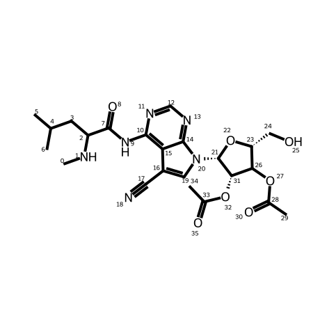 CNC(CC(C)C)C(=O)Nc1ncnc2c1c(C#N)cn2[C@@H]1O[C@H](CO)C(OC(C)=O)[C@@H]1OC(C)=O